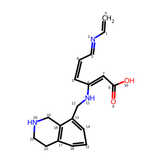 C=C/N=C/C=C\C(=C\C(=O)O)NCc1cccc2c1CNCC2